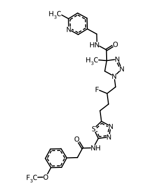 Cc1ccc(CNC(=O)C2(C)CN(CC(F)CCc3nnc(NC(=O)Cc4cccc(OC(F)(F)F)c4)s3)N=N2)cn1